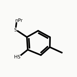 CCCSc1ccc(C)cc1S